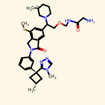 CSc1cc(C(COCNC(=O)CN)N2CCC[C@H](C)C2)cc2c1CN(c1cccc([C@]3(c4nncn4C)C[C@@H](C)C3)c1)C2=O